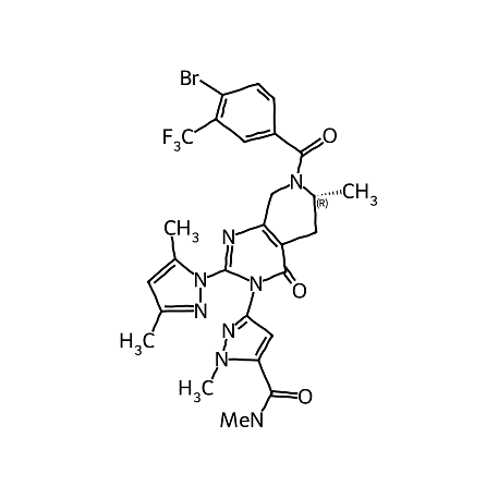 CNC(=O)c1cc(-n2c(-n3nc(C)cc3C)nc3c(c2=O)C[C@@H](C)N(C(=O)c2ccc(Br)c(C(F)(F)F)c2)C3)nn1C